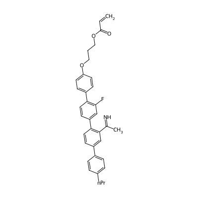 C=CC(=O)OCCCOc1ccc(-c2ccc(-c3ccc(-c4ccc(CCC)cc4)cc3C(C)=N)cc2F)cc1